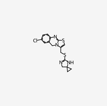 Clc1ccc2c(c1)CN1C(CSC3=NCC4(CC4)N3)=CSC1=N2